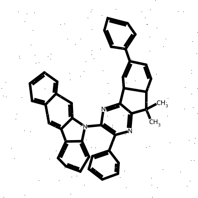 CC1(C)c2nc(-c3ccccc3)c(-n3c4ccccc4c4cc5ccccc5cc43)nc2C2C=C(c3ccccc3)C=CC21